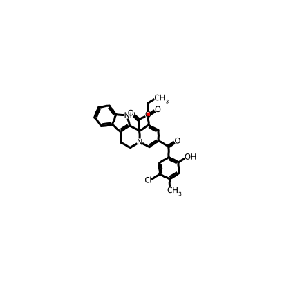 CCOC(=O)C12C(C=O)=CC(C(=O)c3cc(Cl)c(C)cc3O)=CN1CCc1c2[nH]c2ccccc12